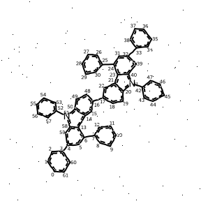 c1ccc(-c2cc(-c3ccccc3)c3c4cc(-c5ccc6c(c5)c5c(-c7ccccc7)cc(-c7ccccc7)cc5n6-c5ccccc5)ccc4n(-c4ccccc4)c3c2)cc1